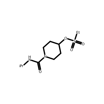 CCS(=O)(=O)OC1CCN(C(=O)NC(C)C)CC1